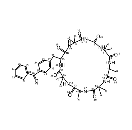 CC1NC(=O)C(C)(C)NC(=O)NC(=O)C(C)(C)NC(=O)C(Cc2ccc(C(=O)c3ccccc3)cc2)NC(=O)C(C)(C)NC(=O)C(C)NC(=O)C(C)(C)NC1=O